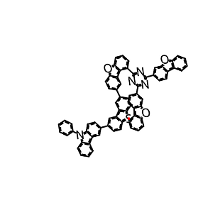 c1ccc(-n2c3ccccc3c3cc(-c4ccc5sc6ccc(-c7ccc8oc9cccc(-c%10nc(-c%11ccc%12c(c%11)oc%11ccccc%11%12)nc(-c%11ccc%12c(c%11)oc%11ccccc%11%12)n%10)c9c8c7)cc6c5c4)ccc32)cc1